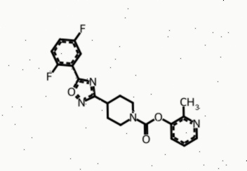 Cc1ncccc1OC(=O)N1CCC(c2noc(-c3cc(F)ccc3F)n2)CC1